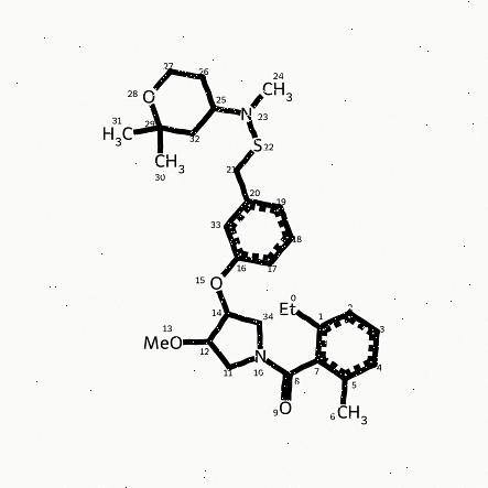 CCc1cccc(C)c1C(=O)N1CC(OC)C(Oc2cccc(CSN(C)C3CCOC(C)(C)C3)c2)C1